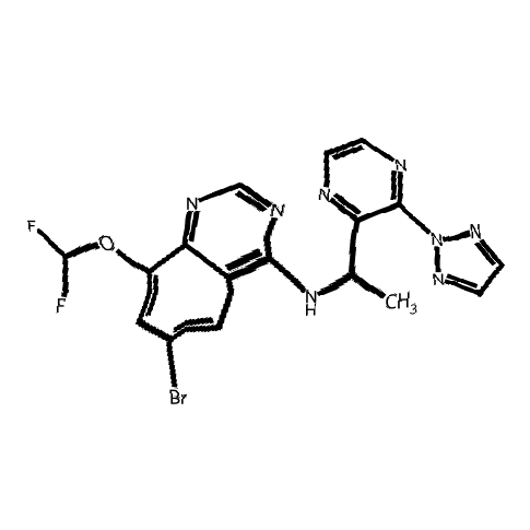 CC(Nc1ncnc2c(OC(F)F)cc(Br)cc12)c1nccnc1-n1nccn1